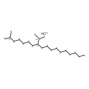 CCCCCCCCCCC(CCCCCC(C)C)N(C)C.Cl